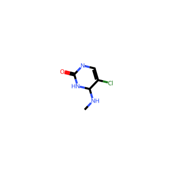 CNC1NC(=O)[N]C=C1Cl